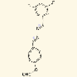 O=COc1ccc(/C=N/N=C/c2cc(F)cc(F)c2)cc1